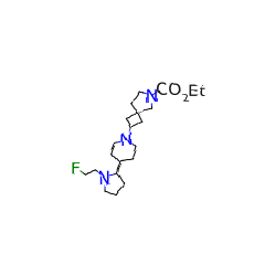 CCOC(=O)N1CCC2(CC(N3CCC(C4CCCN4CCF)CC3)C2)C1